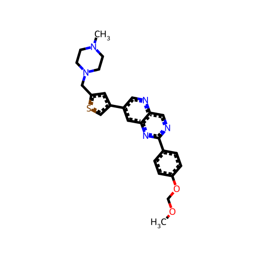 COCOc1ccc(-c2ncc3ncc(-c4csc(CN5CCN(C)CC5)c4)cc3n2)cc1